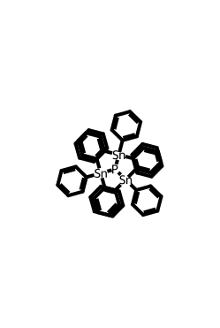 c1cc[c]([Sn]([c]2ccccc2)([c]2ccccc2)[P]([Sn]([c]2ccccc2)([c]2ccccc2)[c]2ccccc2)[Sn]([c]2ccccc2)([c]2ccccc2)[c]2ccccc2)cc1